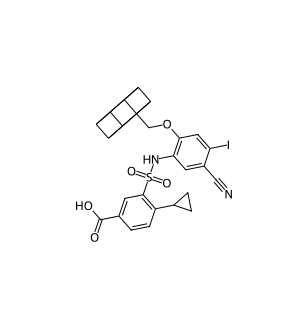 N#Cc1cc(NS(=O)(=O)c2cc(C(=O)O)ccc2C2CC2)c(OCC23C4C5C6C4C2C6C53)cc1I